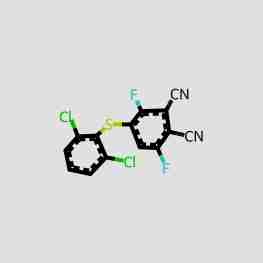 N#Cc1c(F)cc(Sc2c(Cl)cccc2Cl)c(F)c1C#N